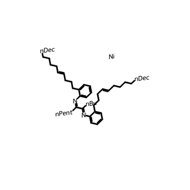 CCCCCCCCCCCCCC/C=C/CCCc1ccccc1/N=C(CCCCC)\C(CCCC)=N\c1ccccc1CCC/C=C/CCCCCCCCCCCCCC.[Ni]